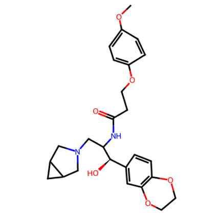 COc1ccc(OCCC(=O)NC(CN2CC3CC3C2)[C@H](O)c2ccc3c(c2)OCCO3)cc1